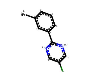 CC(C)c1cccc(-c2ncc(F)cn2)c1